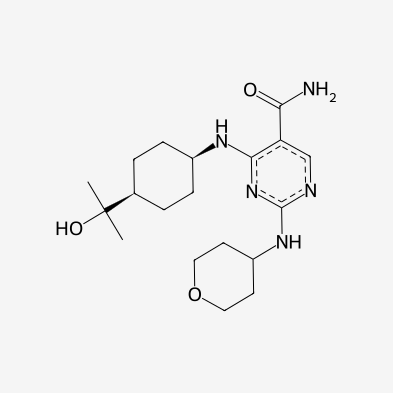 CC(C)(O)[C@H]1CC[C@@H](Nc2nc(NC3CCOCC3)ncc2C(N)=O)CC1